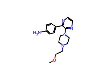 COCCN1CCN(c2nccnc2-c2ccc(N)cc2)CC1